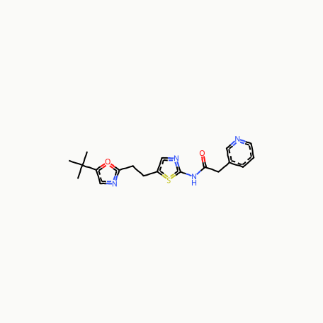 CC(C)(C)c1cnc(CCc2cnc(NC(=O)Cc3cccnc3)s2)o1